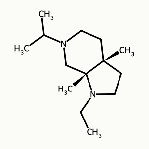 CCN1CC[C@@]2(C)CCN(C(C)C)C[C@@]12C